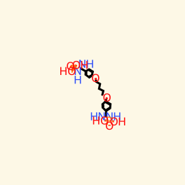 N=C(NP(=O)(O)O)c1ccc(OCCCCCOc2ccc(C(=N)NP(=O)(O)O)cc2)cc1